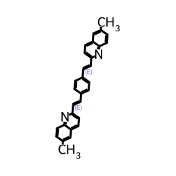 Cc1ccc2nc(/C=C/c3ccc(/C=C/c4ccc5cc(C)ccc5n4)cc3)ccc2c1